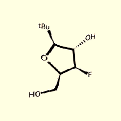 CC(C)(C)[C@@H]1O[C@H](CO)[C@H](F)[C@H]1O